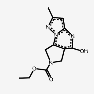 CCOC(=O)N1Cc2c(O)nc3cc(C)nn3c2C1